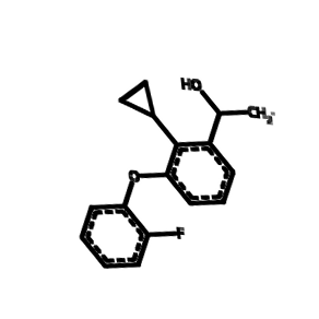 [CH2]C(O)c1cccc(Oc2ccccc2F)c1C1CC1